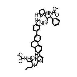 CCCN(Cc1ncc(-c2ccc3c(c2)CCc2cc(-c4ccc5nc([C@@H]6[C@H]7CC[C@H](C7)N6C(=O)[C@H](NC(=O)OC)c6ccccc6)[nH]c5c4)ccc2-3)[nH]1)C(=O)CNC(=O)OC